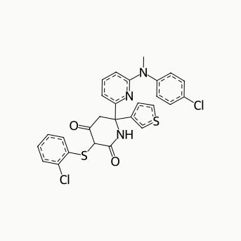 CN(c1ccc(Cl)cc1)c1cccc(C2(c3ccsc3)CC(=O)C(Sc3ccccc3Cl)C(=O)N2)n1